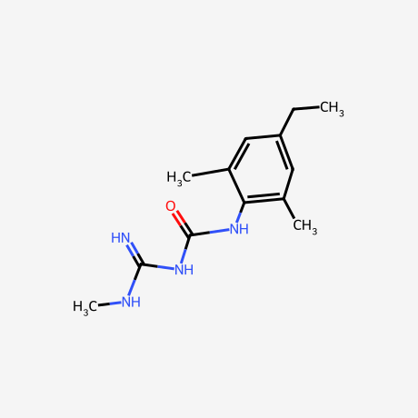 CCc1cc(C)c(NC(=O)NC(=N)NC)c(C)c1